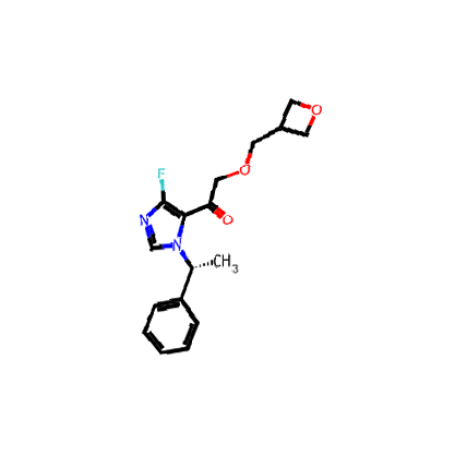 C[C@H](c1ccccc1)n1cnc(F)c1C(=O)COCC1COC1